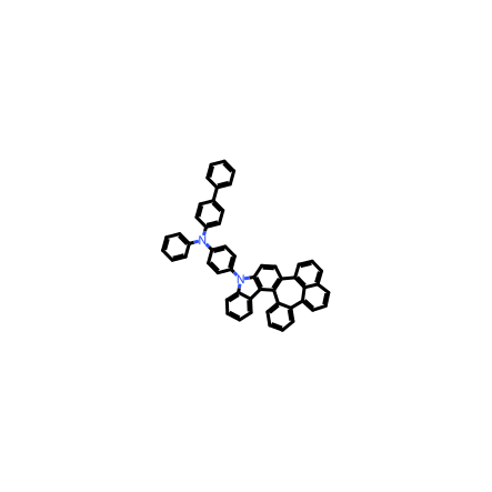 c1ccc(-c2ccc(N(c3ccccc3)c3ccc(-n4c5ccccc5c5c6c(ccc54)-c4cccc5cccc(c45)-c4ccccc4-6)cc3)cc2)cc1